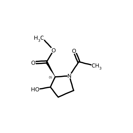 COC(=O)[C@@H]1C(O)CCN1C(C)=O